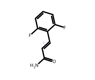 NC(=O)/C=C/c1c(F)cccc1F